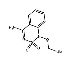 CC(C)(C)CON1c2ccccc2C(N)=NS1(=O)=O